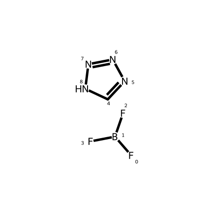 FB(F)F.c1nnn[nH]1